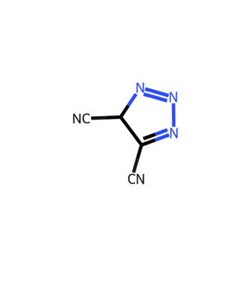 N#CC1=NN=NC1C#N